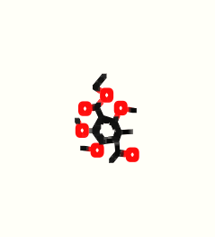 CCOC(=O)c1c(OC)c(C)c(C(C)=O)c(OC)c1OC